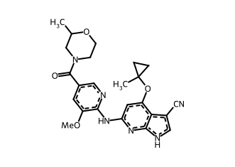 COc1cc(C(=O)N2CCOC(C)C2)cnc1Nc1cc(OC2(C)CC2)c2c(C#N)c[nH]c2n1